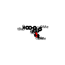 COc1ccc(CN(Cc2ccc(OC)cc2)S(=O)(=O)c2c(C(F)(F)F)ccc(C3CCC4(CC3)CCN(C(=O)OC(C)(C)C)CC4)c2-c2nnnn2Cc2ccc(OC)cc2)cc1